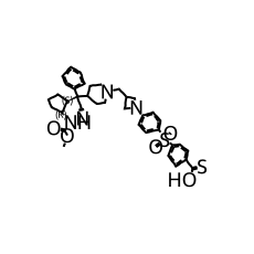 COC(=O)N[C@@H]1CCC[C@H]1C(C#N)(c1ccccc1)C1CCN(CC2CN(c3ccc(S(=O)(=O)c4ccc(C(O)=S)cc4)cc3)C2)CC1